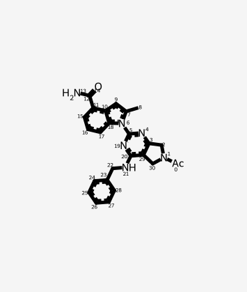 CC(=O)N1Cc2nc(-n3c(C)cc4c(C(N)=O)cccc43)nc(NCc3ccccc3)c2C1